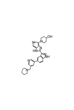 OC1CCN(c2cncc3[nH]c(-c4n[nH]c5ccc(-c6cncc(CN7CCCCC7)c6)cc45)nc23)CC1